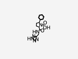 O=C(NCc1nn[nH]n1)C1CCC(c2ccccc2)N1C(=O)O